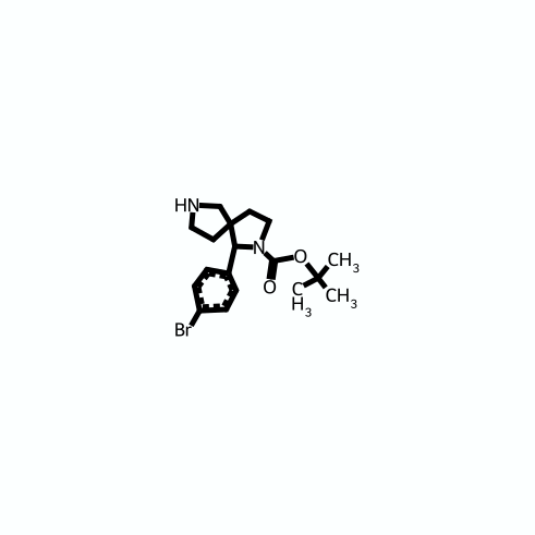 CC(C)(C)OC(=O)N1CCC2(CCNC2)C1c1ccc(Br)cc1